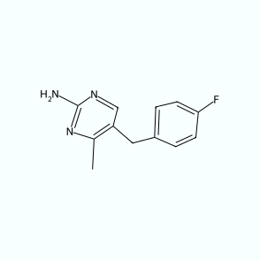 Cc1nc(N)ncc1Cc1ccc(F)cc1